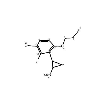 CNC1CC1c1c(OCCF)ccc(Cl)c1F